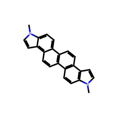 Cn1ccc2c3ccc4c(ccc5c4ccc4c5ccn4C)c3ccc21